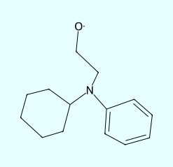 [O]CCN(c1ccccc1)C1CCCCC1